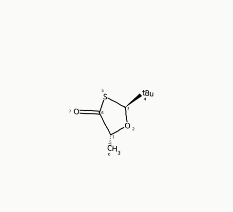 C[C@H]1O[C@H](C(C)(C)C)SC1=O